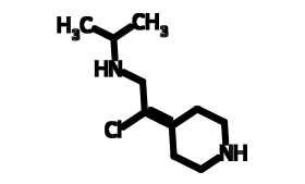 CC(C)NCC(Cl)=C1CCNCC1